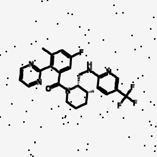 Cc1cc(F)cc(C(=O)N2CCC[C@@H](C)[C@H]2CNc2ccc(C(F)(F)F)cn2)c1-c1ncccn1